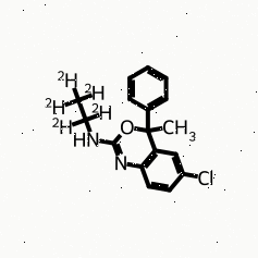 [2H]C([2H])([2H])C([2H])([2H])NC1=Nc2ccc(Cl)cc2C(C)(c2ccccc2)O1